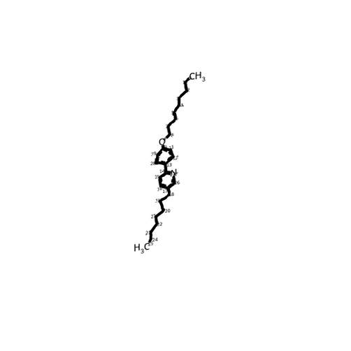 CCCCCCCCCOc1ccc(-c2ccc(CCCCCCCC)cn2)cc1